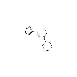 CCN(CCc1cccs1)C1CCCCC1